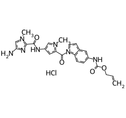 C=CCOC(=O)Nc1ccc2c(ccn2C(=O)c2cc(NC(=O)c3nc(N)cn3C)cn2C)c1.Cl